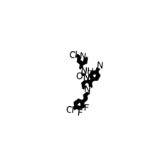 N#Cc1ccc2c3c(n(C(=O)NCc4ccnc(Cl)c4)c2c1)CCN(CC=Cc1ccc(Cl)c(F)c1F)C3